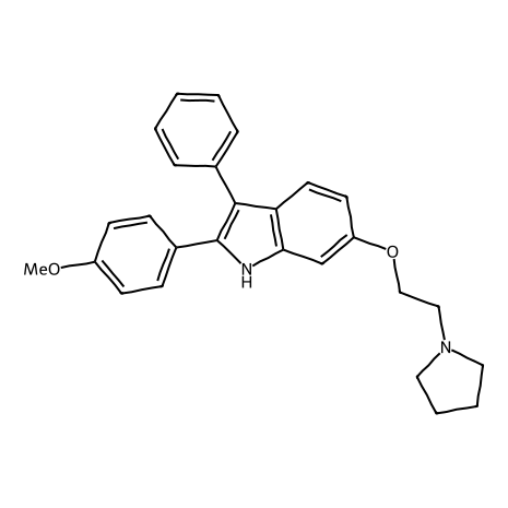 COc1ccc(-c2[nH]c3cc(OCCN4CCCC4)ccc3c2-c2ccccc2)cc1